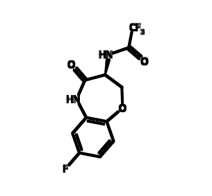 O=C1Nc2cc(F)ccc2OC[C@@H]1NC(=O)C(F)(F)F